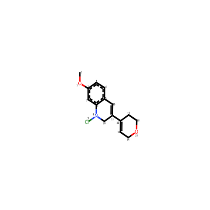 COc1ccc2c(c1)N(Cl)CC(C1=CCOCC1)=C2